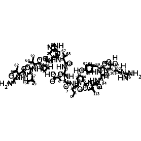 CC[C@H](C)[C@H](NC(=O)[C@H](CCC(=O)O)NC(=O)CNC(=O)[C@@H](NC(=O)[C@H](Cc1c[nH]cn1)NC(=O)[C@@H]1CCCN1C(=O)[C@@H](NC(=O)[C@H](CC(C)C)NC(=O)[C@@H](NC(=O)CN)C(C)C)C(C)C)C(C)C)C(=O)N1CCC[C@H]1C(=O)N[C@H](C(=O)N[C@@H](C)C(=O)N[C@@H](Cc1ccc(O)cc1)C(=O)N[C@@H](CCCNC(=N)N)C(=O)O)C(C)C